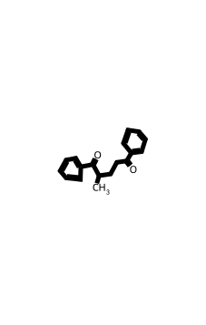 CC(CCC(=O)c1ccccc1)C(=O)c1ccccc1